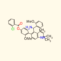 COc1cc(OC(=O)c2ccccc2Cl)ccc1-c1ccc2c(c1C(N)c1ccccc1OC)C(C)=CC(C)(C)N2